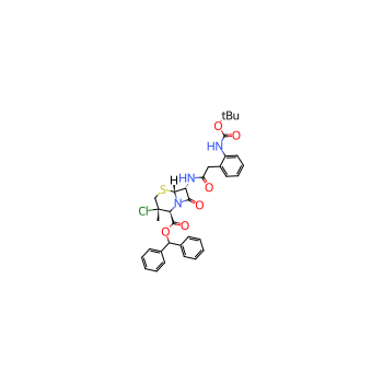 CC(C)(C)OC(=O)Nc1ccccc1CC(=O)N[C@@H]1C(=O)N2[C@@H]1SC[C@@](C)(Cl)[C@@H]2C(=O)OC(c1ccccc1)c1ccccc1